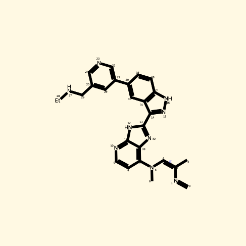 C=N/C(C)=C\N(C)c1ccnc2[nH]c(-c3n[nH]c4ccc(-c5cncc(CNCC)c5)cc34)nc12